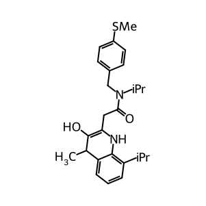 CSc1ccc(CN(C(=O)CC2=C(O)C(C)c3cccc(C(C)C)c3N2)C(C)C)cc1